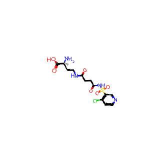 N[C@@H](CCNC(=O)CCC(=O)NS(=O)(=O)c1cnccc1Cl)C(=O)O